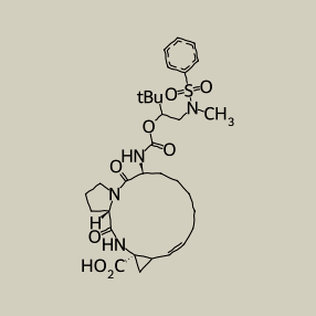 CN(CC(OC(=O)N[C@H]1CCCCC/C=C\C2C[C@@]2(C(=O)O)NC(=O)[C@@H]2CCCN2C1=O)C(C)(C)C)S(=O)(=O)c1ccccc1